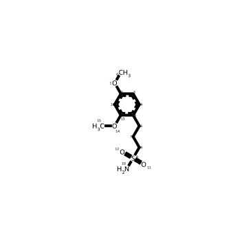 COc1ccc(CCCS(N)(=O)=O)c(OC)c1